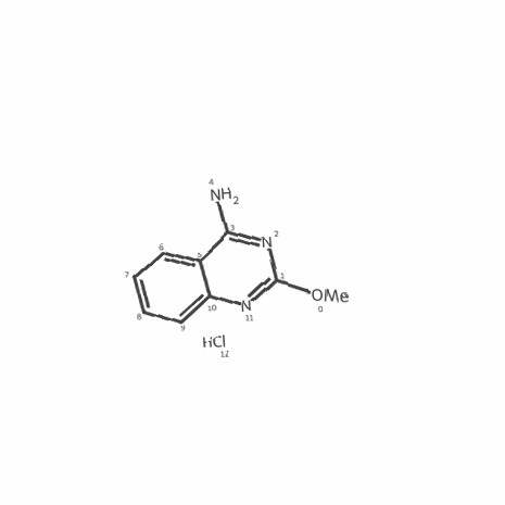 COc1nc(N)c2ccccc2n1.Cl